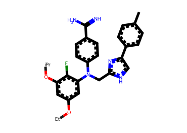 CCOc1cc(OC(C)C)c(F)c(N(Cc2nc(-c3ccc(C)cc3)c[nH]2)c2ccc(C(=N)N)cc2)c1